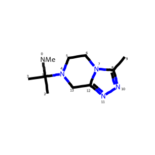 CNC(C)(C)N1CCn2c(C)nnc2C1